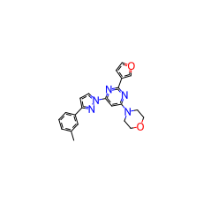 Cc1cccc(-c2ccn(-c3cc(N4CCOCC4)nc(-c4ccoc4)n3)n2)c1